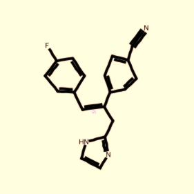 N#Cc1ccc(/C(=C\c2ccc(F)cc2)Cc2ncc[nH]2)cc1